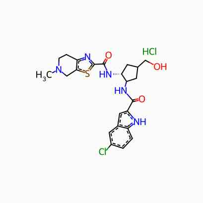 CN1CCc2nc(C(=O)N[C@@H]3CC(CO)CC3NC(=O)c3cc4cc(Cl)ccc4[nH]3)sc2C1.Cl